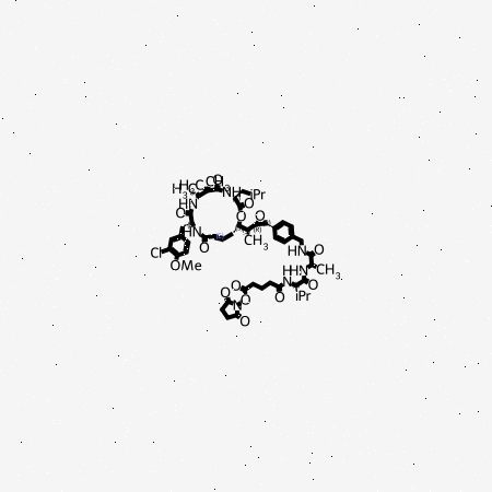 COc1ccc(C[C@H]2NC(=O)/C=C/C[C@@H]([C@H](C)[C@H]3O[C@@H]3c3ccc(CNC(=O)C(C)NC(=O)[C@@H](NC(=O)CCCC(=O)ON4C(=O)CCC4=O)C(C)C)cc3)OC(=O)[C@H](CC(C)C)NC(=O)C(C)(C)C(C)NC2=O)cc1Cl